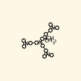 CC1(C)c2cc(-c3ccc4c(c3)c3ccccc3n4-c3ccccc3)ccc2-c2ccc(N(c3ccc(-c4ccc(-n5c6ccccc6c6ccccc65)cc4)cc3)c3ccc(-c4ccc5c(c4)c4ccccc4n5-c4ccccc4)cc3)cc21